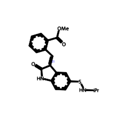 COC(=O)c1ccccc1/C=C1\C(=O)Nc2ccc(SNC(C)C)cc21